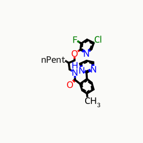 CCCCCC(CNC(=O)c1cc(C)ccc1-c1ncccn1)COc1ncc(Cl)cc1F